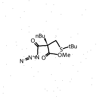 CCCC[C@](CSC(C)(C)C)(C(=O)N=[N+]=[N-])C(=O)OC